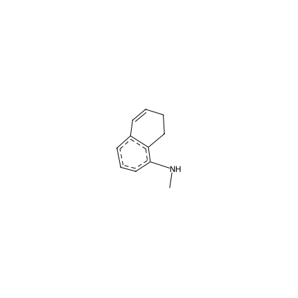 CNc1cccc2c1CCC=C2